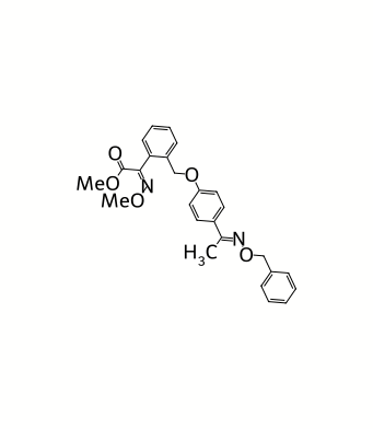 CON=C(C(=O)OC)c1ccccc1COc1ccc(C(C)=NOCc2ccccc2)cc1